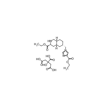 CCOC(=O)c1cn(C[C@H]2CC[C@H]3CN[C@H](C(=O)OCC)C[C@H]3C2)cn1.O=C(O)CC(O)(CC(=O)O)C(=O)O